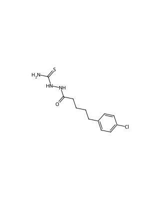 NC(=S)NNC(=O)CCCCc1ccc(Cl)cc1